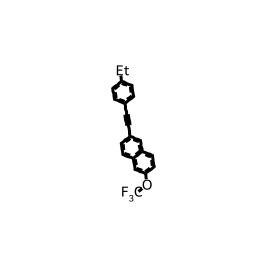 CCc1ccc(C#Cc2ccc3cc(OC(F)(F)F)ccc3c2)cc1